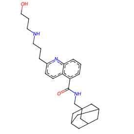 O=C(NCC12CC3CC(CC(C3)C1)C2)c1cccc2nc(CCCNCCCO)ccc12